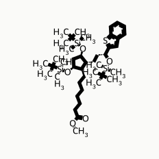 COC(=O)CCCCCC[C@@H]1[C@@H](CC[C@@H](O[Si](C)(C)C(C)(C)C)c2cc3ccccc3s2)[C@H](O[Si](C)(C)C(C)(C)C)C[C@@H]1O[Si](C)(C)C(C)(C)C